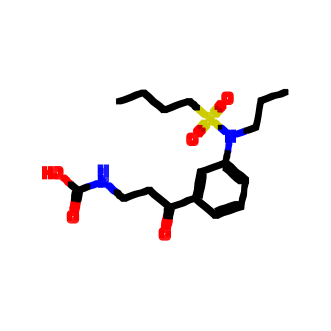 CCCCS(=O)(=O)N(CCC)c1cccc(C(=O)CCNC(=O)O)c1